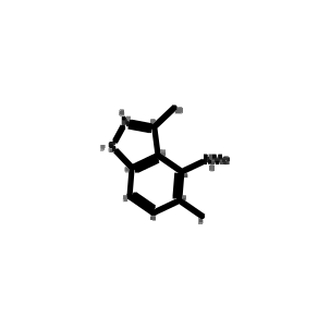 CNc1c(C)ccc2snc(C)c12